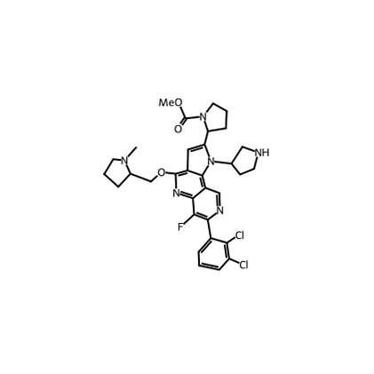 COC(=O)N1CCCC1c1cc2c(OCC3CCCN3C)nc3c(F)c(-c4cccc(Cl)c4Cl)ncc3c2n1C1CCNC1